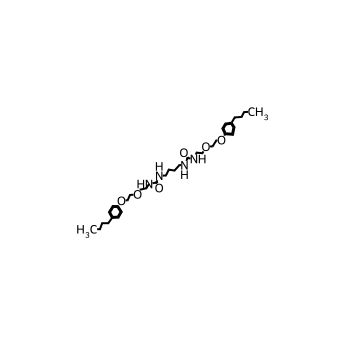 CCCCc1ccc(OCCOCCNC(=O)NCCCCNC(=O)NCCOCCOc2ccc(CCCC)cc2)cc1